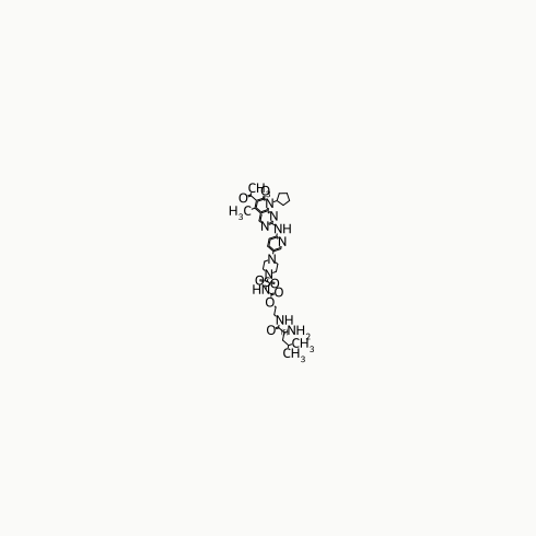 CC(=O)c1c(C)c2cnc(Nc3ccc(N4CCN(S(=O)(=O)NC(=O)OCCNC(=O)[C@@H](N)CC(C)C)CC4)cn3)nc2n(C2CCCC2)c1=O